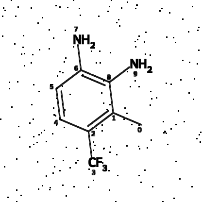 Cc1c(C(F)(F)F)ccc(N)c1N